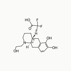 O=C(O)C(F)(F)F.OCCN1CCC[C@@H]2Cc3c(ccc(O)c3O)C[C@H]21